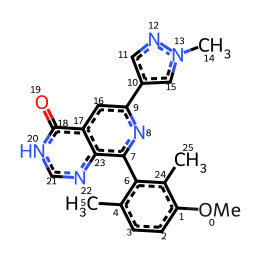 COc1ccc(C)c(-c2nc(-c3cnn(C)c3)cc3c(=O)[nH]cnc23)c1C